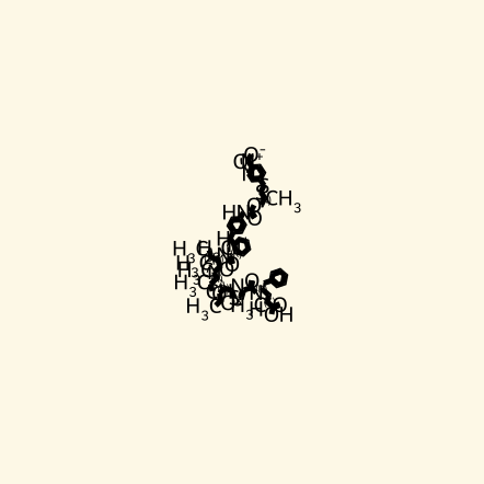 CC[C@H](C)[C@H](NC(=O)[C@H]1CCCC[N+]1(C)Cc1ccc(NC(=O)OC[C@@H](C)SSc2ccc([N+](=O)[O-])nc2)cc1)C(=O)N(C)[C@H](C[C@@H](OC(C)=O)c1nc(C(=O)N[C@@H](Cc2ccccc2)C[C@H](C)C(=O)O)cs1)C(C)C